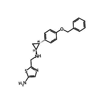 Nc1cnc(CN[C@H]2C[C@@H]2c2ccc(OCc3ccccc3)cc2)s1